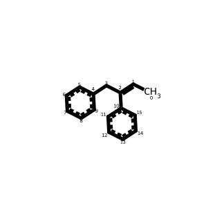 CC=C(Cc1ccccc1)c1ccccc1